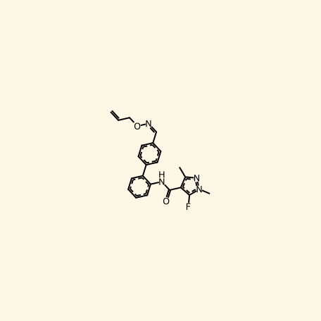 C=CCO/N=C\c1ccc(-c2ccccc2NC(=O)c2c(C)nn(C)c2F)cc1